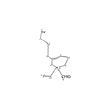 CC(C)CCCC1=CCCC(C=O)(CI)C1